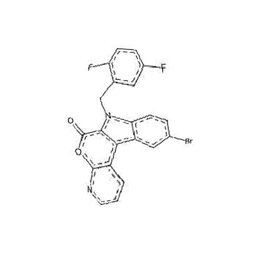 O=c1oc2ncccc2c2c3cc(Br)ccc3n(Cc3cc(F)ccc3F)c12